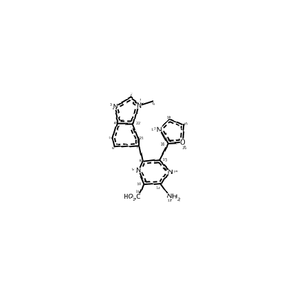 Cn1cnc2ccc(-c3nc(C(=O)O)c(N)nc3-c3ncco3)cc21